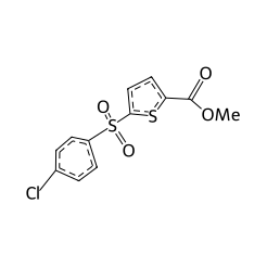 COC(=O)c1ccc(S(=O)(=O)c2ccc(Cl)cc2)s1